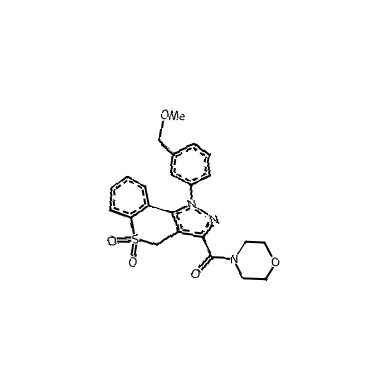 COCc1cccc(-n2nc(C(=O)N3CCOCC3)c3c2-c2ccccc2S(=O)(=O)C3)c1